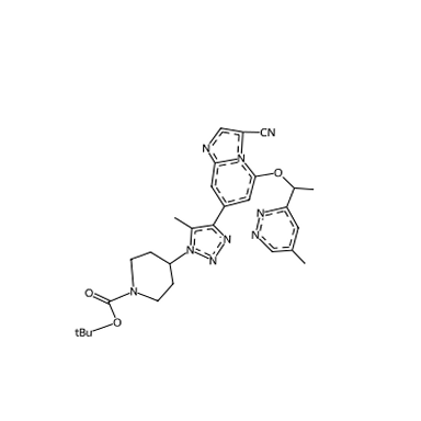 Cc1cnnc(C(C)Oc2cc(-c3nnn(C4CCN(C(=O)OC(C)(C)C)CC4)c3C)cc3ncc(C#N)n23)c1